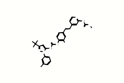 COC(=O)Nc1cc(CCc2ccc(NC(=O)Nc3cc(C(C)(C)C)nn3-c3cccc(C)c3)c(F)c2)ccn1